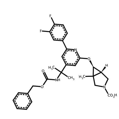 CC(C)(NC(=O)OCc1ccccc1)c1cc(O[C@H]2[C@@H]3CN(C(=O)O)CC32C)nc(-c2ccc(F)c(F)c2)c1